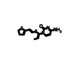 C/C=C(\S/C=C/C1=CCCS1)n1ccc(N)nc1=O